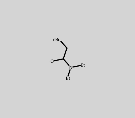 CCCCCC([O])N(CC)CC